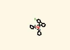 C[Si](C)(OCC1(CO[Si](C)(C)c2ccccc2)c2ccccc2-c2ccc(F)cc21)c1ccccc1